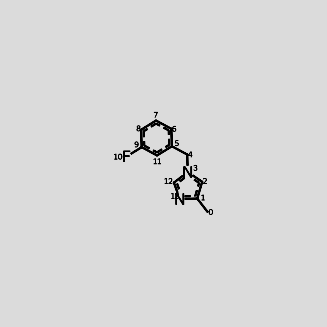 Cc1cn(Cc2cccc(F)c2)cn1